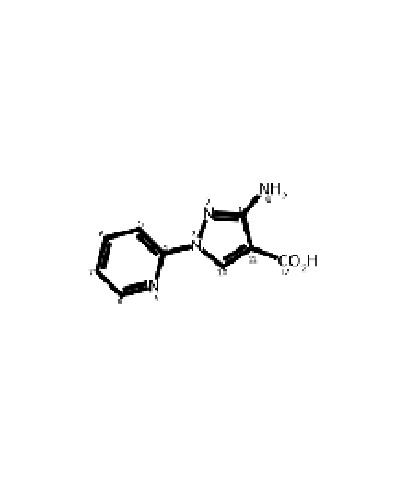 Nc1nn(-c2ccccn2)cc1C(=O)O